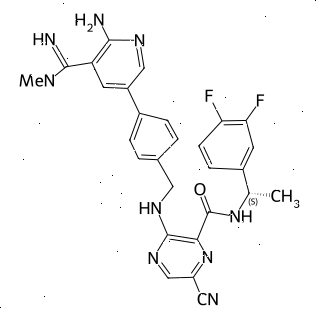 CNC(=N)c1cc(-c2ccc(CNc3ncc(C#N)nc3C(=O)N[C@@H](C)c3ccc(F)c(F)c3)cc2)cnc1N